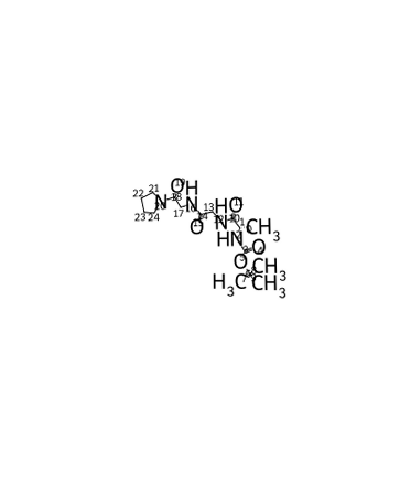 C[C@H](NC(=O)OC(C)(C)C)C(=O)NCC(=O)NCC(=O)N1CCCC1